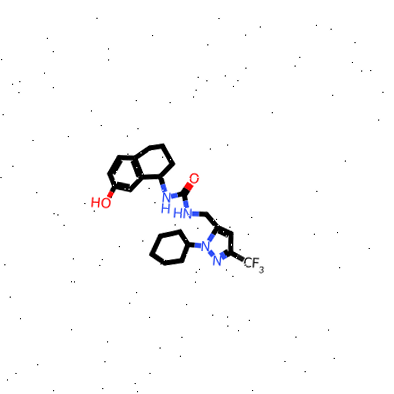 O=C(NCc1cc(C(F)(F)F)nn1C1CCCCC1)NC1CCCc2ccc(O)cc21